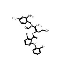 C/C(=C(\CCO)SC(=O)c1c(F)cccc1Oc1ccccc1Br)N(C=O)Cc1cnc(C)nc1N